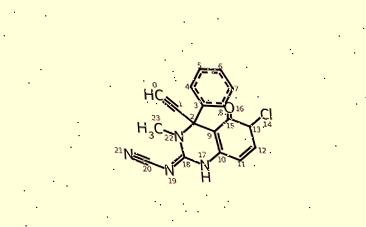 C#CC1(c2ccccc2)C2=C(C=CC(Cl)C2=O)NC(=NC#N)N1C